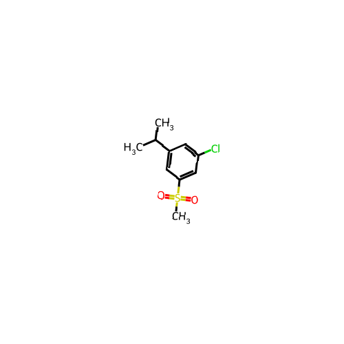 CC(C)c1cc(Cl)cc(S(C)(=O)=O)c1